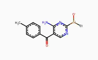 CC[S+]([O-])c1ncc(C(=O)c2ccc(C)cc2)c(N)n1